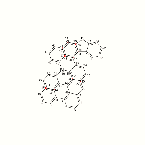 c1ccc(-c2cccc3cccc(-c4ccccc4N(c4ccccc4-c4cccc5sc6ccccc6c45)c4cccc5ccccc45)c23)cc1